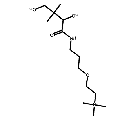 CC(C)(CO)C(O)C(=O)NCCCOCC[N+](C)(C)C